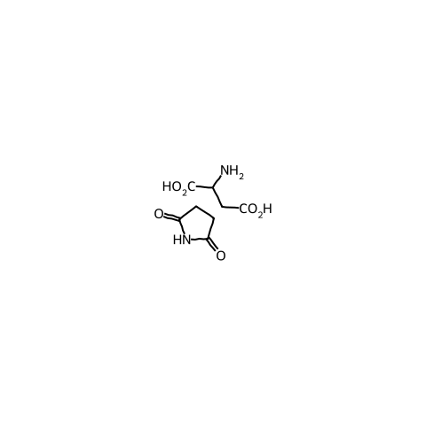 NC(CC(=O)O)C(=O)O.O=C1CCC(=O)N1